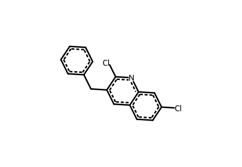 Clc1ccc2cc(Cc3ccccc3)c(Cl)nc2c1